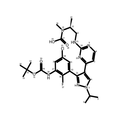 CC(C)n1cc(-c2ccnc(NC[C@H](C)N(C)C(=O)O)n2)c(-c2cc(Cl)cc(NC(=O)OC(C)(C)C)c2F)n1